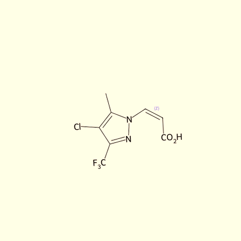 Cc1c(Cl)c(C(F)(F)F)nn1/C=C\C(=O)O